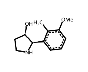 COc1cccc([C@H]2NCC[C@H]2O)c1C